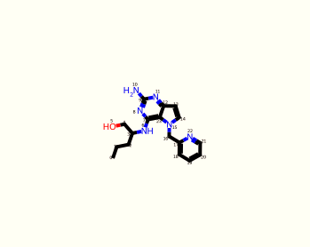 CCCC(CO)Nc1nc(N)nc2ccn(Cc3ccccn3)c12